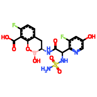 NS(=O)(=O)NC(C(=O)N[C@H]1Cc2ccc(F)c(C(=O)O)c2OB1O)c1ncc(O)cc1F